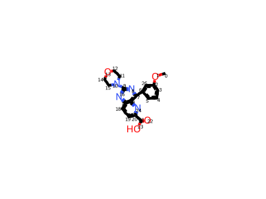 COc1cccc(-c2nc(N3CCOCC3)nc3ccc(C(=O)O)nc23)c1